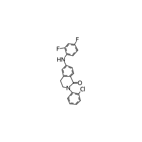 O=C1c2ccc(Nc3ccc(F)cc3F)cc2CCN1c1ccccc1Cl